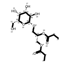 CCC(=O)OC[C@H](CO[C@@H]1O[C@H](CO)[C@H](O)[C@H](O)[C@H]1O)OC(=O)CC